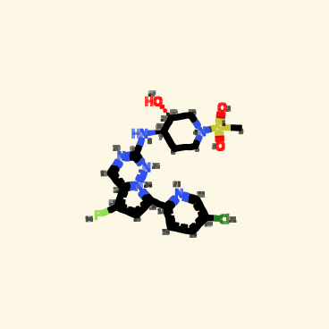 CS(=O)(=O)N1CC[C@@H](Nc2ncc3c(F)cc(-c4ccc(Cl)cn4)n3n2)[C@H](O)C1